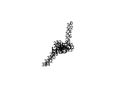 CCCCCCCCCCc1ccccc1SP(=O)(S)c1ccccc1CCCCCCCCCC